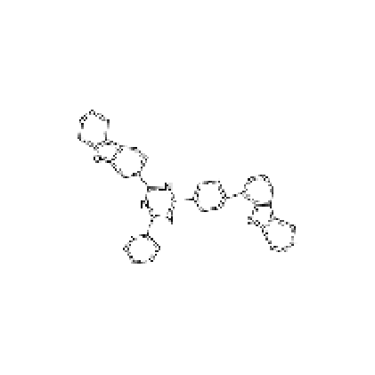 c1ccc(-c2nc(-c3ccc(-c4cccc5c4sc4ccccc45)cc3)nc(-c3ccc4c(c3)oc3ccccc34)n2)cc1